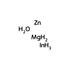 O.[InH3].[MgH2].[Zn]